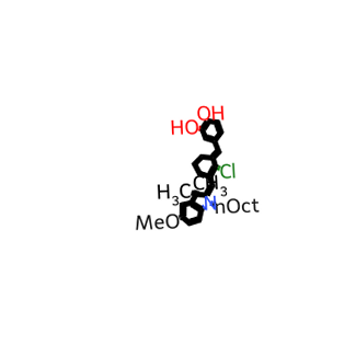 CCCCCCCCN1/C(=C/C2=C(Cl)C(=C/c3ccc(O)c(O)c3)/CCC2)C(C)(C)c2cc(OC)ccc21